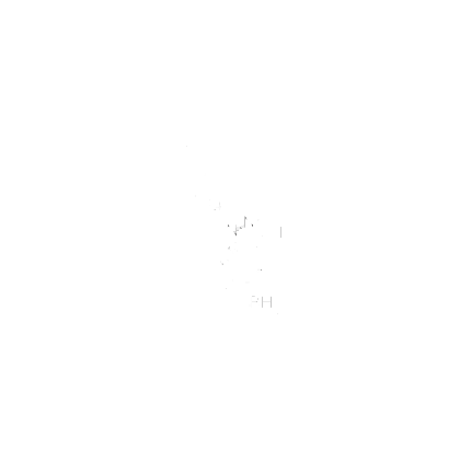 Bc1ccc2c(c1)c(I)nn2COCCCC